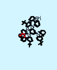 CC(C)(C)c1ccc2c(c1)B1c3ccc4oc5ccccc5c4c3N(c3ccc(C(C)(C)C)cc3-c3ccccc3)c3cc(N4c5ccc(C(C)(C)C)cc5C5(C)CCCCC45C)cc(c31)N2c1cccc2c1-c1ccccc1B2